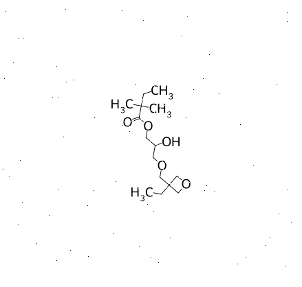 CCC1(COCC(O)COC(=O)C(C)(C)CC)COC1